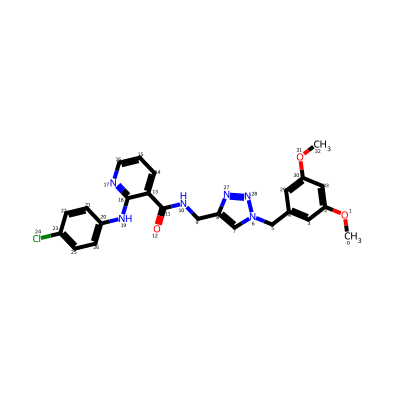 COc1cc(Cn2cc(CNC(=O)c3cccnc3Nc3ccc(Cl)cc3)nn2)cc(OC)c1